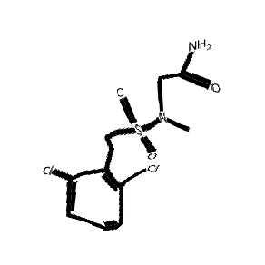 CN(CC(N)=O)S(=O)(=O)Cc1c(Cl)cccc1Cl